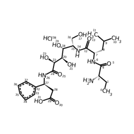 CC[C@H](N)C(=O)N[C@@H](CC(C)C)C(=O)N[C@@H](CO)[C@@H](O)[C@@H](O)[C@H](O)C(=O)N[C@@H](CC(=O)O)c1ccccc1.Cl